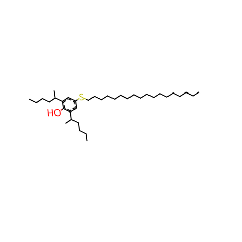 CCCCCCCCCCCCCCCCCCSc1cc(C(C)CCCC)c(O)c(C(C)CCCC)c1